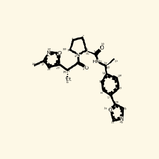 CC[C@@H](C(=O)N1CCC[C@H]1C(=O)N[C@@H](C)c1ccc(-c2cnco2)cc1)c1cc(C)no1